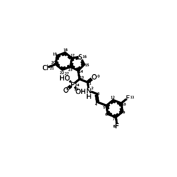 O=C(NC=Cc1cc(F)cc(F)c1)C(c1csc2ccc(Cl)cc12)P(=O)(O)O